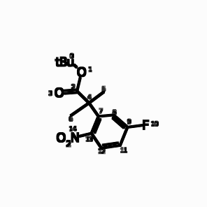 CC(C)(C)OC(=O)C(C)(C)c1cc(F)ccc1[N+](=O)[O-]